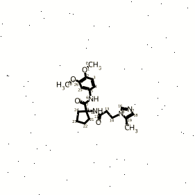 COc1ccc(NC(=O)C2(NC(=O)CCn3cncc3C)CCCC2)cc1OC